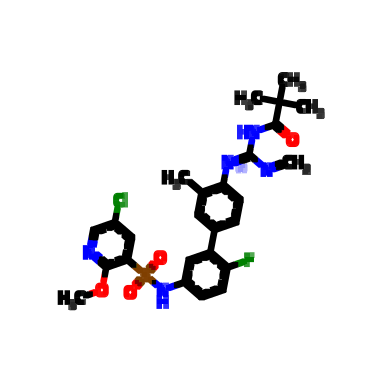 C=N/C(=N\c1ccc(-c2cc(NS(=O)(=O)c3cc(Cl)cnc3OC)ccc2F)cc1C)NC(=O)C(C)(C)C